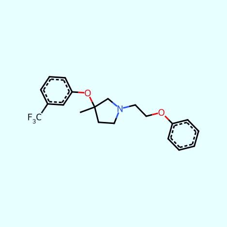 CC1(Oc2cccc(C(F)(F)F)c2)CCN(CCOc2ccccc2)C1